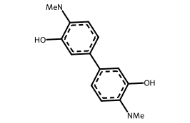 CNc1ccc(-c2ccc(NC)c(O)c2)cc1O